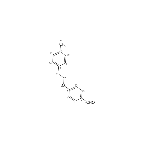 O=Cc1ccc(OCCc2ccc(C(F)(F)F)cc2)cc1